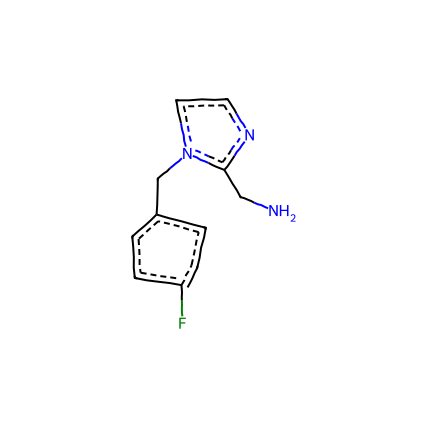 NCc1nccn1Cc1ccc(F)cc1